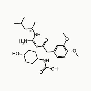 COc1ccc(CC(=O)N=C(N)N[C@H](C)CC(C)C)cc1OC.O=C(O)N[C@H]1CC[C@H](O)CC1